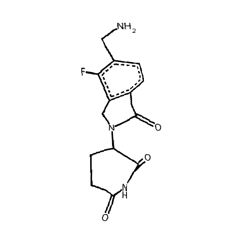 NCc1ccc2c(c1F)CN(C1CCC(=O)NC1=O)C2=O